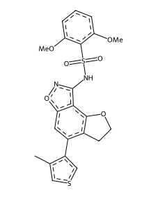 COc1cccc(OC)c1S(=O)(=O)Nc1noc2cc(-c3cscc3C)c3c(c12)OCC3